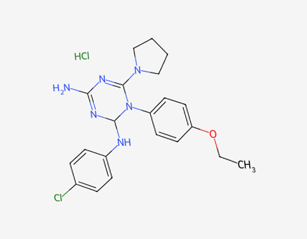 CCOc1ccc(N2C(N3CCCC3)=NC(N)=NC2Nc2ccc(Cl)cc2)cc1.Cl